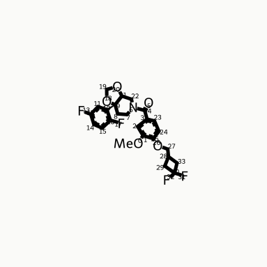 COc1cc(C(=O)N2CC[C@]3(c4cc(F)ccc4F)OCOC3C2)ccc1OCC1CC(F)(F)C1